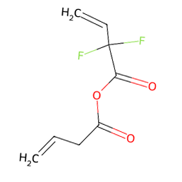 C=CCC(=O)OC(=O)C(F)(F)C=C